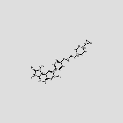 CC(C)n1c(=O)n(C)c2nnc3cc(F)c(-c4ccc(COCCN5CCN(C6CC6)CC5)nc4)cc3c21